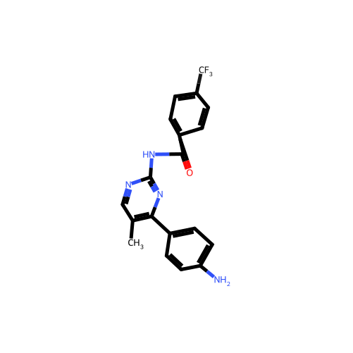 Cc1cnc(NC(=O)c2ccc(C(F)(F)F)cc2)nc1-c1ccc(N)cc1